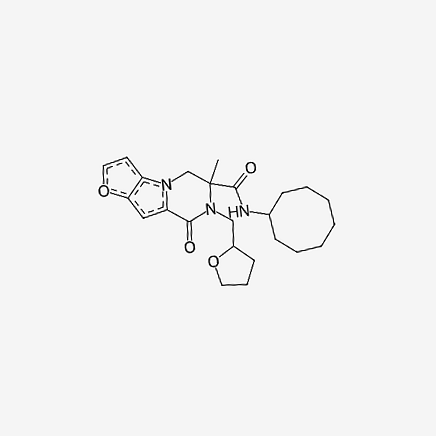 CC1(C(=O)NC2CCCCCCC2)Cn2c(cc3occc32)C(=O)N1CC1CCCO1